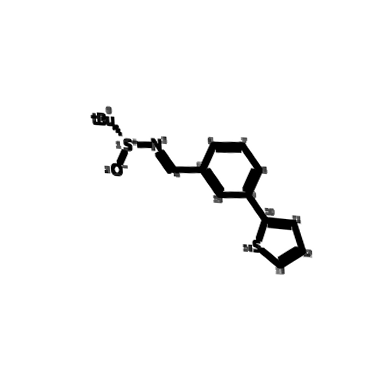 CC(C)(C)[S@@+]([O-])N=Cc1cccc(-c2cccs2)c1